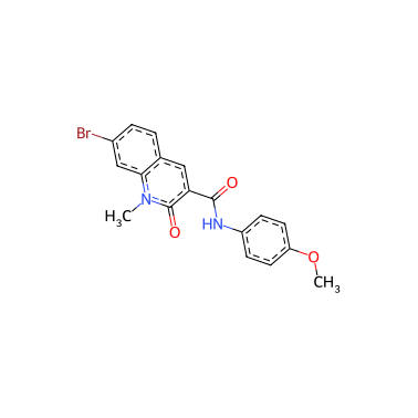 COc1ccc(NC(=O)c2cc3ccc(Br)cc3n(C)c2=O)cc1